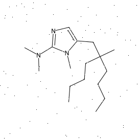 CCCCC(C)(CCCC)Cc1cnc(N(C)C)n1C